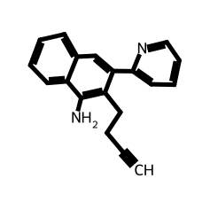 C#CCCc1c(-c2ccccn2)cc2ccccc2c1N